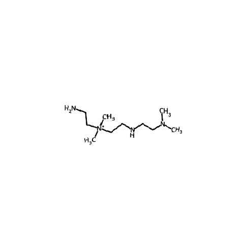 CN(C)CCNCC[N+](C)(C)CCN